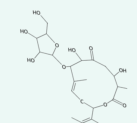 C/C=C(/C)C1C/C=C(\C)C(OC2OC(CO)C(O)C2O)C(O)C(=O)CC(O)C(C)C(=O)O1